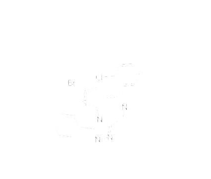 Clc1ccccc1C1=NCc2nnc(C3CCCCC3)n2-c2sc(Br)cc21